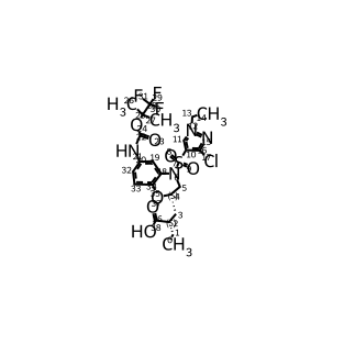 CC[C@@H](C[C@H]1CN(S(=O)(=O)c2cn(CC)nc2Cl)c2cc(NC(=O)OC(C)(C)C(F)(F)F)ccc2O1)C(=O)O